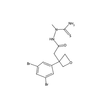 CN(NC(=O)CC1(c2cc(Br)cc(Br)c2)COC1)C(N)=S